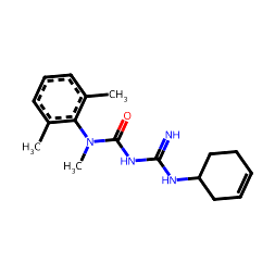 Cc1cccc(C)c1N(C)C(=O)NC(=N)NC1CC=CCC1